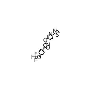 FC(F)(F)Oc1ccc([C@H]2CC(Oc3ccc(-c4nccs4)nc3)=NO2)cc1